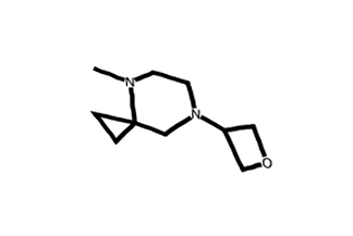 CN1CCN(C2COC2)CC12CC2